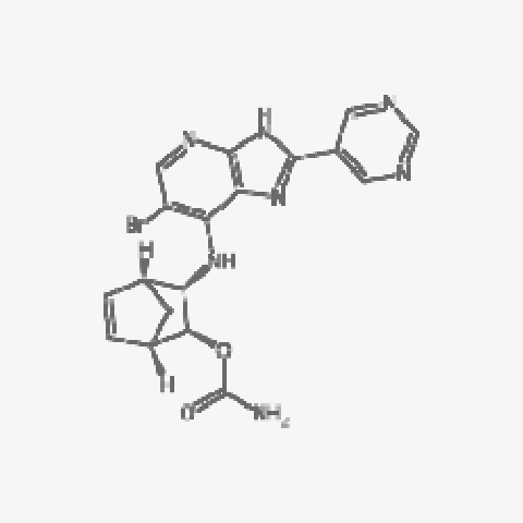 NC(=O)O[C@@H]1[C@H](Nc2c(Br)cnc3[nH]c(-c4cncnc4)nc23)[C@H]2C=C[C@@H]1C2